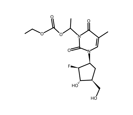 CCOC(=O)OC(C)n1c(=O)c(C)cn([C@H]2C[C@@H](CO)[C@H](O)[C@H]2F)c1=O